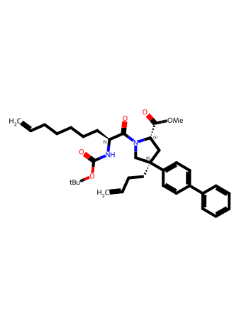 C=CCCCCC[C@H](NC(=O)OC(C)(C)C)C(=O)N1C[C@](CCC=C)(c2ccc(-c3ccccc3)cc2)C[C@H]1C(=O)OC